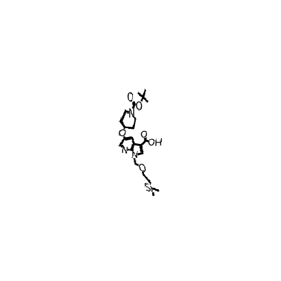 CC(C)(C)OC(=O)N1CCC(Oc2cnc3c(c2)c(C(=O)O)cn3COCC[Si](C)(C)C)CC1